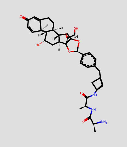 C[C@H](N)C(=O)N[C@@H](C)C(=O)NC12CC(Cc3ccc([C@@H]4O[C@@H]5C[C@H]6[C@@H]7CCC8=CC(=O)C=C[C@]8(C)[C@H]7[C@@H](O)C[C@]6(C)[C@]5(C(=O)CO)O4)cc3)(C1)C2